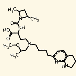 COC(C)CN(CCCCc1ccc2c(n1)NCCC2)CCC(NC(=O)N1C(C)CC1C)C(=O)O